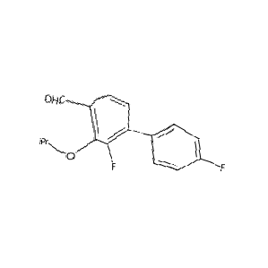 CC(C)Oc1c(C=O)ccc(-c2ccc(F)cc2)c1F